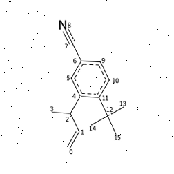 C=C[C](C)c1cc(C#N)ccc1C(C)(C)C